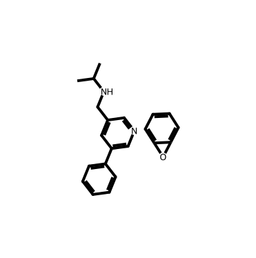 CC(C)NCc1cncc(-c2ccccc2)c1.c1ccc2c(c1)O2